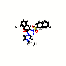 N#Cc1cccc(C[C@H](NS(=O)(=O)c2ccc3ccccc3c2)C(=O)N2CCN(C(=O)O)CC2)c1